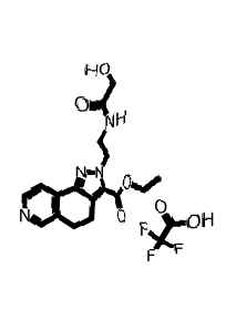 CCOC(=O)c1c2c(nn1CCNC(=O)CO)-c1ccncc1CC2.O=C(O)C(F)(F)F